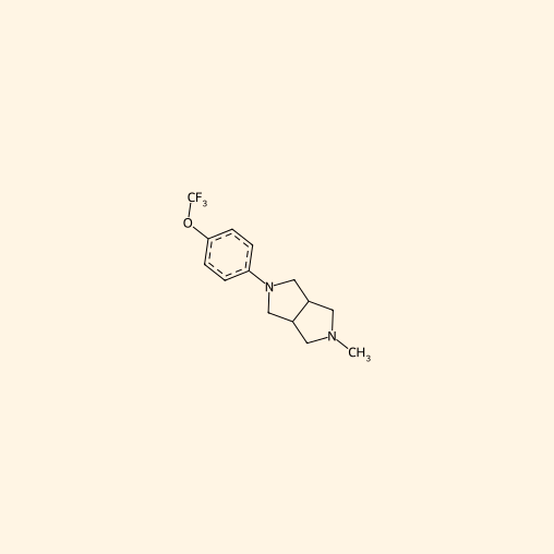 CN1CC2CN(c3ccc(OC(F)(F)F)cc3)CC2C1